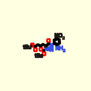 CC(C)(C)OC(=O)CCC[C@H](NC(=O)OC(C)(C)C)C(=O)Nc1cc([N+](=O)[O-])ccc1N